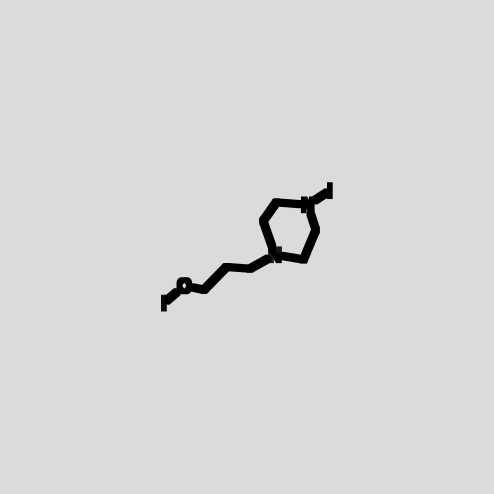 IOCCCN1CCN(I)CC1